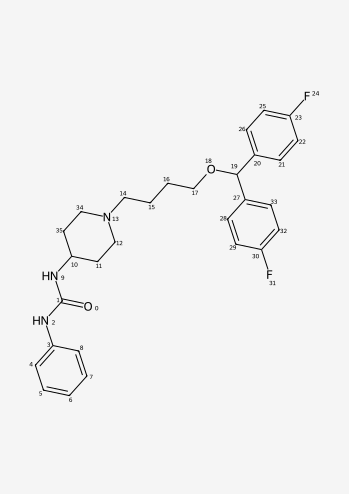 O=C(Nc1ccccc1)NC1CCN(CCCCOC(c2ccc(F)cc2)c2ccc(F)cc2)CC1